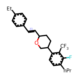 CCCc1ccc(C2CCC(/C=C/c3ccc(CC)cc3)OC2)c(C(F)(F)F)c1F